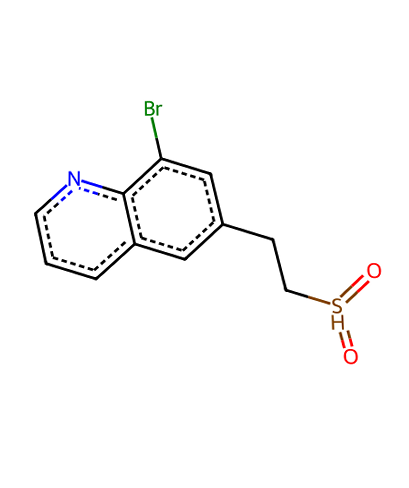 O=[SH](=O)CCc1cc(Br)c2ncccc2c1